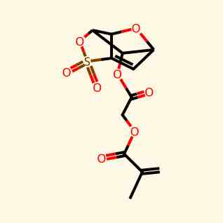 C=C(C)C(=O)OCC(=O)OC1C2C=C3C(O2)C1OS3(=O)=O